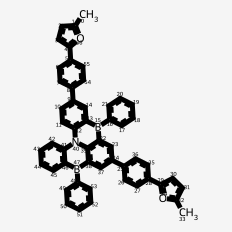 Cc1ccc(-c2ccc(-c3ccc4c(c3)B(c3ccccc3)c3cc(-c5ccc(-c6ccc(C)o6)cc5)cc5c3N4c3ccccc3B5c3ccccc3)cc2)o1